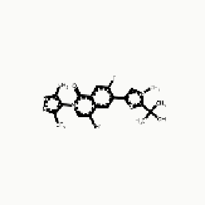 Cc1n[nH]c(C(F)(F)F)c1-n1cc(C(C)C)c2cc(-c3cn(C)c(C(C)(C)O)n3)c(F)cc2c1=O